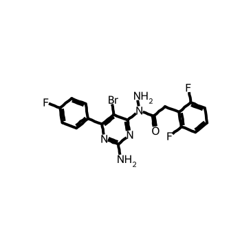 Nc1nc(-c2ccc(F)cc2)c(Br)c(N(N)C(=O)Cc2c(F)cccc2F)n1